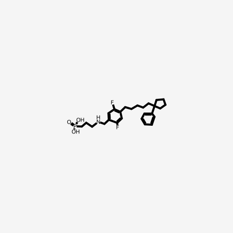 O=P(O)(O)CCCNCc1cc(F)c(CCCCCC2(c3ccccc3)CCCC2)cc1F